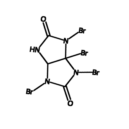 O=C1NC2N(Br)C(=O)N(Br)C2(Br)N1Br